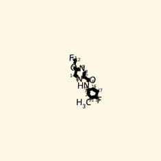 Cc1cc(NC(=O)c2cnc(OCF)cn2)ccc1F